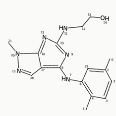 Cc1ccc(C)c(Nc2nc(NCCO)nc3c2cnn3C)c1